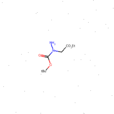 CCOC(=O)CN(N)C(=O)OC(C)(C)C